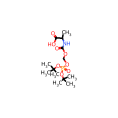 CC(NC(=O)OCOP(=O)(OC(C)(C)C)OC(C)(C)C)C(=O)O